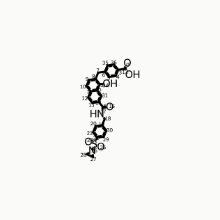 O=C(O)c1ccc(Cc2ccc3ccc(C(=O)NCc4ccc(S(=O)(=O)N5CC5)cc4)cc3c2O)cc1